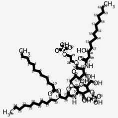 CCCCCCCCCCCC(=O)O[C@H](CCCCCCCCCCC)CC(=O)NC1C(OCC2OC(OCCOS(=O)(=O)O)C(NC(=O)C[C@H](O)CCCCCCCCCCC)C(O)C2O)OC(CO)C(OP(=O)(O)O)C1O